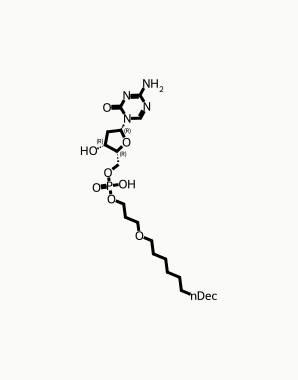 CCCCCCCCCCCCCCCCOCCCOP(=O)(O)OC[C@H]1O[C@@H](n2cnc(N)nc2=O)C[C@H]1O